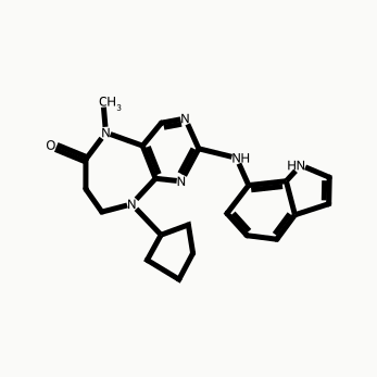 CN1C(=O)CCN(C2CCCC2)c2nc(Nc3cccc4cc[nH]c34)ncc21